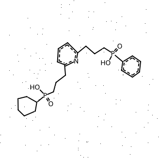 O=P(O)(CCCc1cccc(CCCP(=O)(O)C2CCCCC2)n1)c1ccccc1